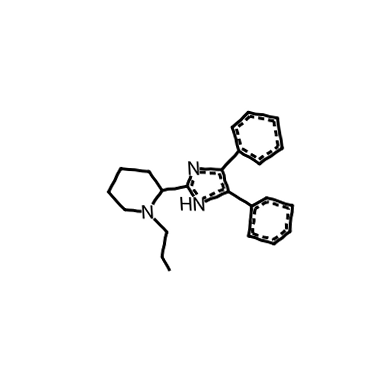 CCCN1CCCCC1c1nc(-c2ccccc2)c(-c2ccccc2)[nH]1